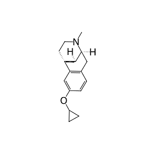 CN1CC[C@@]23CCCC[C@@H]2[C@@H]1Cc1ccc(OC2CC2)cc13